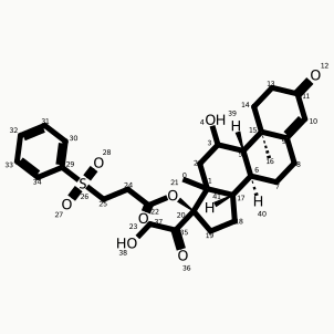 CC12CC(O)[C@H]3[C@@H](CCC4=CC(=O)CC[C@@]43C)[C@@H]1CC[C@]2(OC(=O)CCS(=O)(=O)c1ccccc1)C(=O)CO